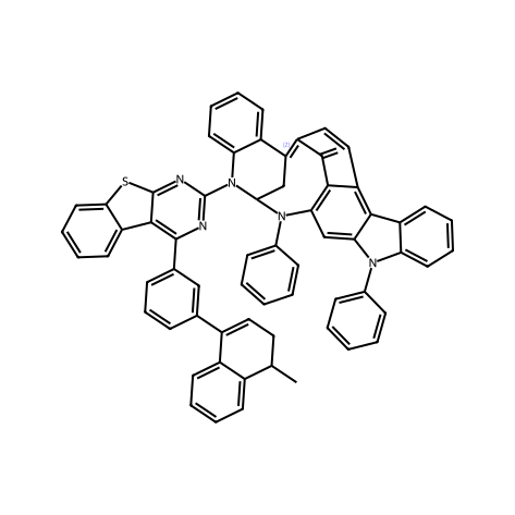 C=c1/c2ccc3c1c(cc1c3c3ccccc3n1-c1ccccc1)N(c1ccccc1)C1C\C=2c2ccccc2N1c1nc(-c2cccc(C3=CCC(C)c4ccccc43)c2)c2c(n1)sc1ccccc12